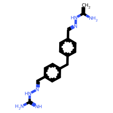 C=C(N)N/N=C/c1ccc(Cc2ccc(/C=N/NC(=N)N)cc2)cc1